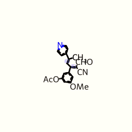 COc1cc(OC(C)=O)cc(C(/C=C(\C)c2ccncc2)=C(\C#N)C=O)c1